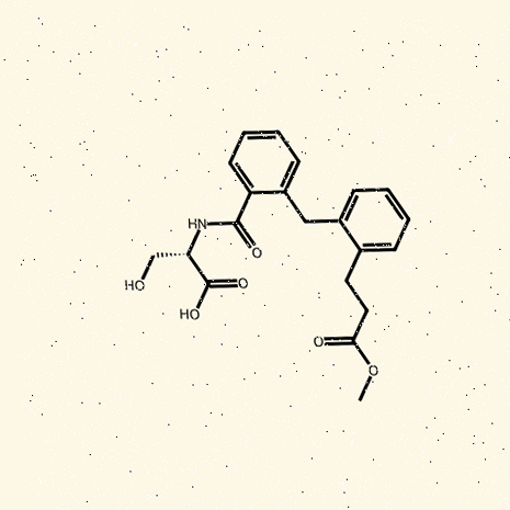 COC(=O)CCc1ccccc1Cc1ccccc1C(=O)N[C@@H](CO)C(=O)O